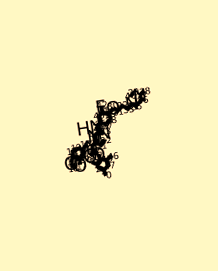 Cc1cc(C)c(OC(=O)N(Cc2ccc3c(c2)OCO3)c2ccnc(Nc3ccc(OCCCN4CCN(C)CC4)c(F)c3)n2)c(C)c1